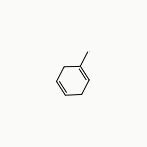 [CH2]C1=CCC=CC1